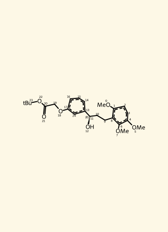 COc1ccc(OC)c(OC)c1CC[C@@H](O)c1cccc(OCC(=O)OC(C)(C)C)c1